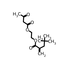 C=C(CC(C)(C)C)C(=O)OCCOC(=O)CC(C)=O